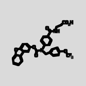 O=C(O)CCNC(=O)c1ccc(N(Cc2ccc(OC(F)(F)F)cc2)C(=O)Oc2ccc3oc4ccccc4c3c2)cc1